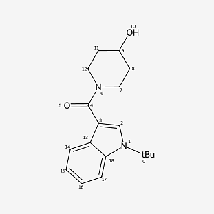 CC(C)(C)n1cc(C(=O)N2CCC(O)CC2)c2ccccc21